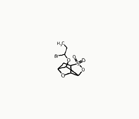 CCC(Br)OC1C2CC3C(O2)C1OS3(=O)=O